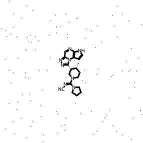 C[C@@H]1CCN(C(=NC#N)N2CCCC2)C[C@@H]1c1nnc2cnc3[nH]ccc3n12